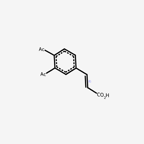 CC(=O)c1ccc(/C=C/C(=O)O)cc1C(C)=O